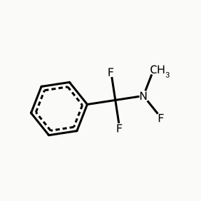 CN(F)C(F)(F)c1ccccc1